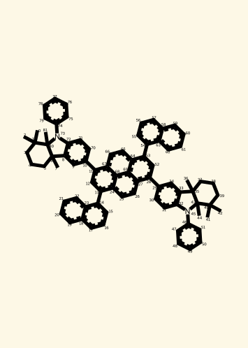 CC1(C)CCCC2(C)c3cc(-c4cc(-c5cccc6ccccc56)c5ccc6c(-c7ccc8c(c7)C7(C)CCCC(C)(C)C7(C)N8c7ccccc7)cc(-c7cccc8ccccc78)c7ccc4c5c67)ccc3N(c3ccccc3)C12C